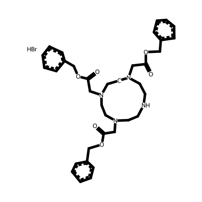 Br.O=C(CN1CCNCCN(CC(=O)OCc2ccccc2)CCN(CC(=O)OCc2ccccc2)CC1)OCc1ccccc1